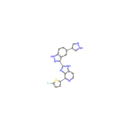 Fc1ccc(-c2nccc3[nH]c(-c4n[nH]c5ccc(-c6cn[nH]c6)cc45)nc23)s1